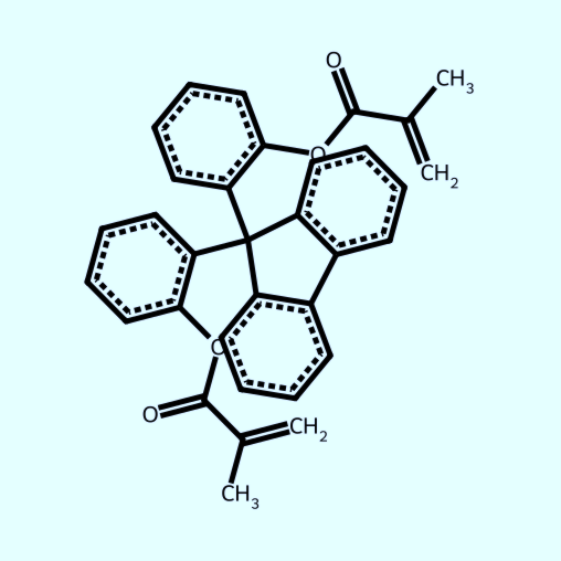 C=C(C)C(=O)Oc1ccccc1C1(c2ccccc2OC(=O)C(=C)C)c2ccccc2-c2ccccc21